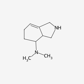 CN(C)C1CCC=C2CNCC21